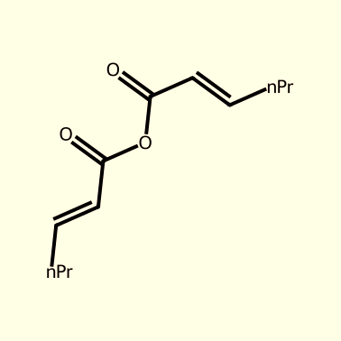 CCC/C=C/C(=O)OC(=O)/C=C/CCC